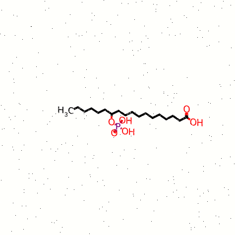 CCCCCCC(CCCCCCCCCCC(=O)O)OP(=O)(O)O